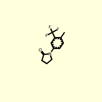 Cc1ccc(N2CCCC2=O)cc1C(F)(F)F